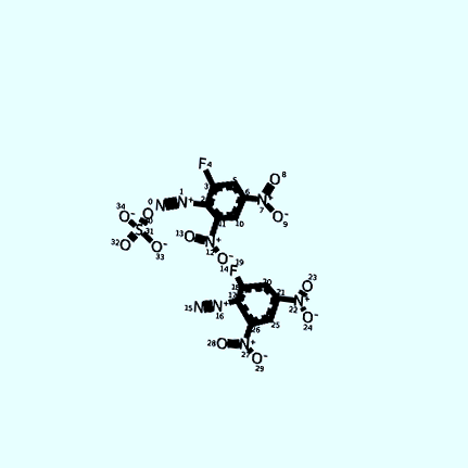 N#[N+]c1c(F)cc([N+](=O)[O-])cc1[N+](=O)[O-].N#[N+]c1c(F)cc([N+](=O)[O-])cc1[N+](=O)[O-].O=S(=O)([O-])[O-]